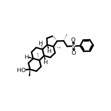 C[C@H](CS(=O)(=O)c1ccccc1)[C@H]1CC[C@H]2[C@@H]3CC[C@H]4C[C@@](C)(O)CC[C@]4(C)[C@H]3CC[C@]12C